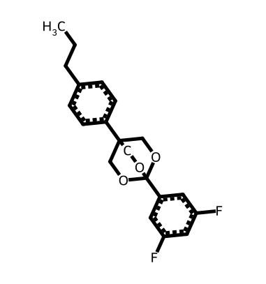 CCCc1ccc(C23COC(c4cc(F)cc(F)c4)(OC2)OC3)cc1